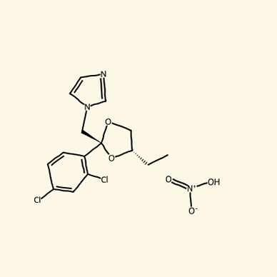 CC[C@H]1CO[C@@](Cn2ccnc2)(c2ccc(Cl)cc2Cl)O1.O=[N+]([O-])O